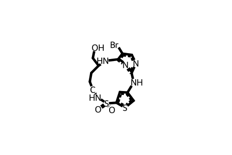 O=S1(=O)NCCCC(CO)Nc2nc(ncc2Br)Nc2csc1c2